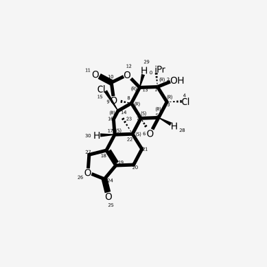 CC(C)[C@]1(O)[C@H](Cl)[C@@H]2O[C@]23[C@@]2(OC(=O)O[C@H]12)[C@H](Cl)C[C@H]1C2=C(CC[C@@]13C)C(=O)OC2